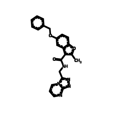 Cc1oc2ccc(OCc3ccccc3)cc2c1C(=O)NCc1nnc2ncccn12